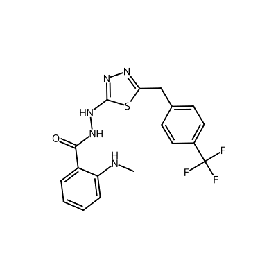 CNc1ccccc1C(=O)NNc1nnc(Cc2ccc(C(F)(F)F)cc2)s1